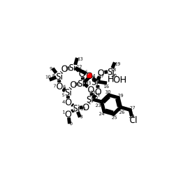 CO[Si]1(C)O[Si]2(C)O[Si](C)(C)O[Si]3(C)O[Si](C)(O[SiH](C)O)O[Si](c4ccc(CCl)cc4)(O1)O[Si](C)(O2)O3